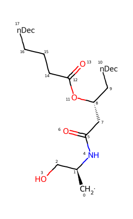 [CH2][C@@H](CO)NC(=O)C[C@@H](CCCCCCCCCCC)OC(=O)CCCCCCCCCCCCC